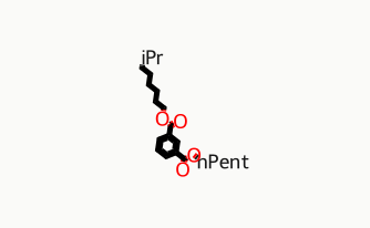 CCCCCOC(=O)c1cccc(C(=O)OCCCCCCC(C)C)c1